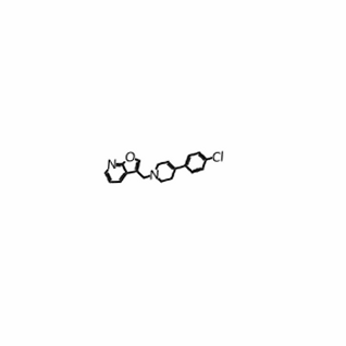 Clc1ccc(C2=CCN(Cc3coc4ncccc34)CC2)cc1